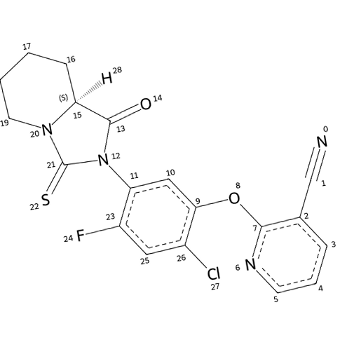 N#Cc1cccnc1Oc1cc(N2C(=O)[C@@H]3CCCCN3C2=S)c(F)cc1Cl